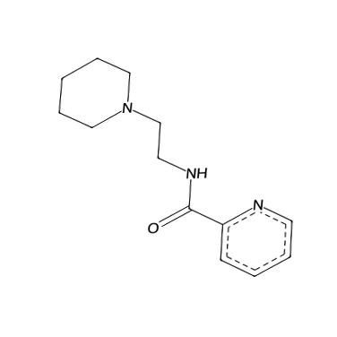 O=C(NCCN1CCCCC1)c1ccccn1